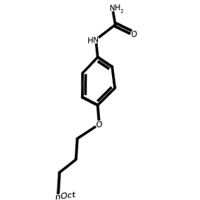 CCCCCCCCCCCOc1ccc(NC(N)=O)cc1